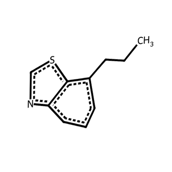 CCCc1cccc2ncsc12